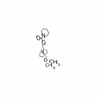 CC(C)OCC12CCCN1C(COC(=O)N1CCCCC1)CC2